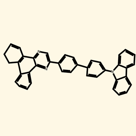 C1=Cc2c(c3ccccc3c3nc(-c4ccc(-c5ccc(-n6c7ccccc7c7ccccc76)cc5)cc4)cnc23)CC1